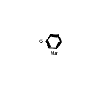 [Na].[S].c1ccccc1